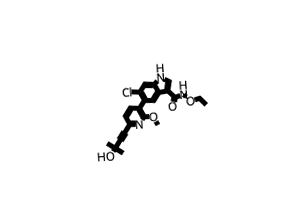 CCONC(=O)c1c[nH]c2cc(Cl)c(-c3ccc(C#CC(C)(C)O)nc3OC)cc12